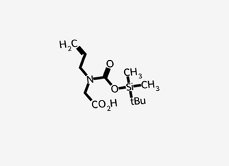 C=CCN(CC(=O)O)C(=O)O[Si](C)(C)C(C)(C)C